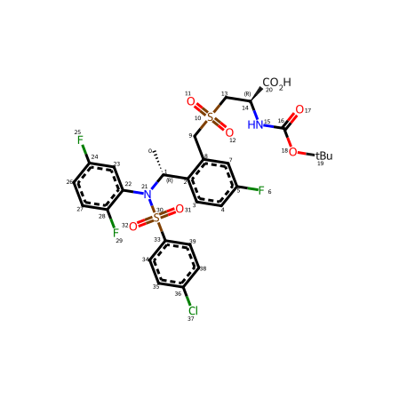 C[C@H](c1ccc(F)cc1CS(=O)(=O)C[C@H](NC(=O)OC(C)(C)C)C(=O)O)N(c1cc(F)ccc1F)S(=O)(=O)c1ccc(Cl)cc1